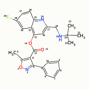 Cc1onc(-c2ccccc2)c1C(=O)Oc1cc(CNC(C)(C)C)nc2ccc(F)cc12